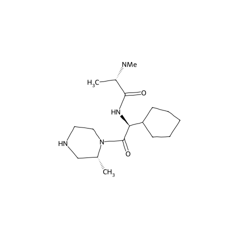 CN[C@@H](C)C(=O)N[C@H](C(=O)N1CCNC[C@H]1C)C1CCCCC1